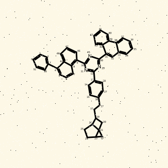 c1ccc(-c2cccc3c(-c4nc(-c5ccc(CCC6CC78CC7CCC68)cc5)nc(-c5cc6ccccc6c6ccccc56)n4)cccc23)cc1